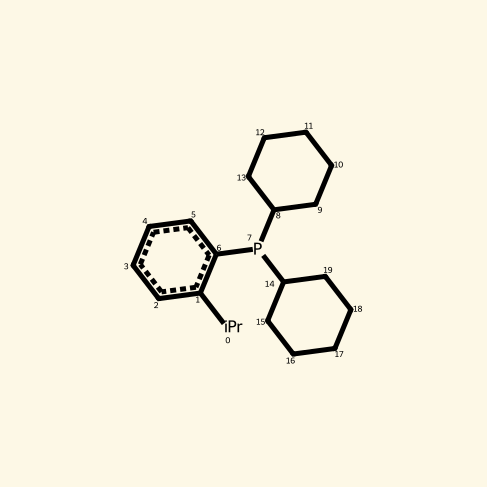 [CH2]C(C)c1ccccc1P(C1CCCCC1)C1CCCCC1